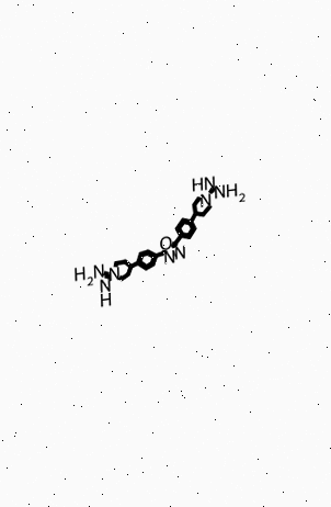 N=C(N)N1CCC(c2ccc(-c3nnc(-c4ccc(C5CCN(C(=N)N)CC5)cc4)o3)cc2)CC1